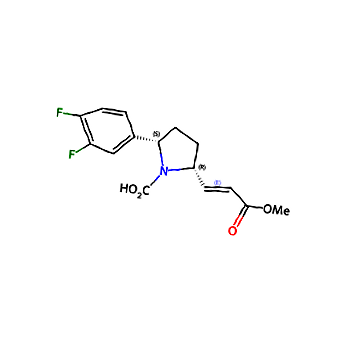 COC(=O)/C=C/[C@H]1CC[C@@H](c2ccc(F)c(F)c2)N1C(=O)O